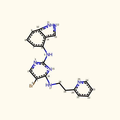 Brc1cnc(Nc2cccc3[nH]ncc23)nc1NCCc1ccccn1